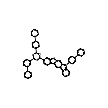 c1ccc(-c2ccc(-c3nc(-c4cccc(-c5ccccc5)c4)nc(-c4ccc5c(c4)oc4cc6c(cc45)c4ccccc4n6-c4ccc(-c5ccccc5)cc4)n3)cc2)cc1